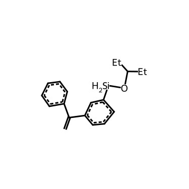 C=C(c1ccccc1)c1cccc([SiH2]OC(CC)CC)c1